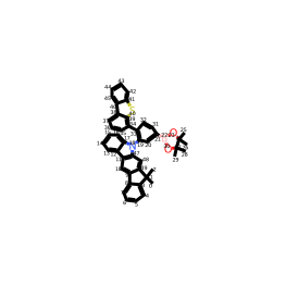 CC1(C)c2ccccc2-c2cc3c4ccccc4n(-c4cc(B5OC(C)(C)C(C)(C)O5)ccc4-c4cccc5c4sc4ccccc45)c3cc21